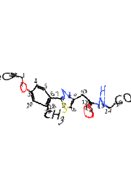 COCOc1ccc(-c2nc(CC(=O)NCC(=O)O)cs2)c(C)c1